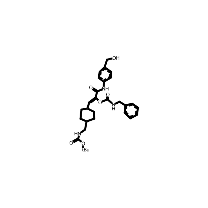 CC(C)(C)OC(=O)NCC1CCC(C=C(OC(=O)NCc2ccccc2)C(=O)Nc2ccc(CO)cc2)CC1